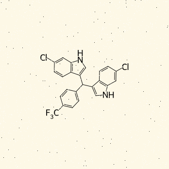 FC(F)(F)c1ccc(C(c2c[nH]c3cc(Cl)ccc23)c2c[nH]c3cc(Cl)ccc23)cc1